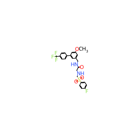 COc1cc(CNC(=O)CNCS(=O)(=O)c2ccc(F)cc2)cc(-c2ccc(C(F)(F)F)cc2)c1